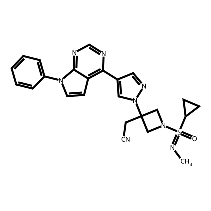 CN=S(=O)(C1CC1)N1CC(CC#N)(n2cc(-c3ncnc4c3ccn4-c3ccccc3)cn2)C1